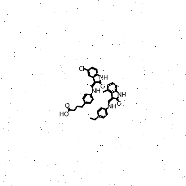 CCc1ccc(NC=C2C(=O)Nc3cccc(C)c32)cc1.O=C(O)CCCc1ccc(NC=C2C(=O)Nc3ccc(Cl)cc32)cc1